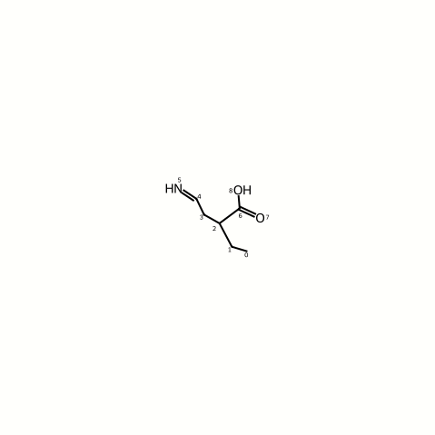 CCC(CC=N)C(=O)O